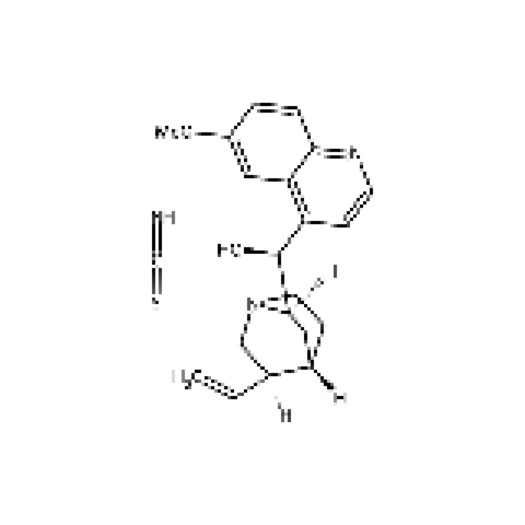 C=C[C@H]1CN2CC[C@H]1C[C@@H]2[C@@H](O)c1ccnc2ccc(OC)cc12.N=C=S